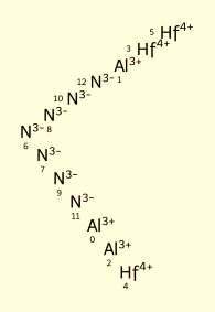 [Al+3].[Al+3].[Al+3].[Hf+4].[Hf+4].[Hf+4].[N-3].[N-3].[N-3].[N-3].[N-3].[N-3].[N-3]